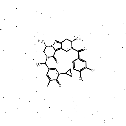 CC(c1cc(F)c(=O)n(C2CC2)c1)N1C[C@@H](C)n2nc3c(c2C1=O)CN(C(=O)c1ccc(Cl)c(Cl)c1)[C@H](C)C3